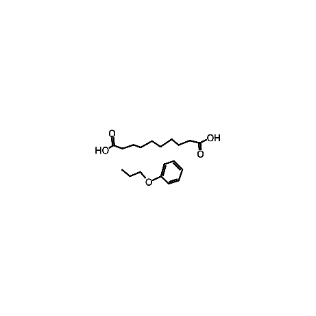 CCCOc1ccccc1.O=C(O)CCCCCCCCC(=O)O